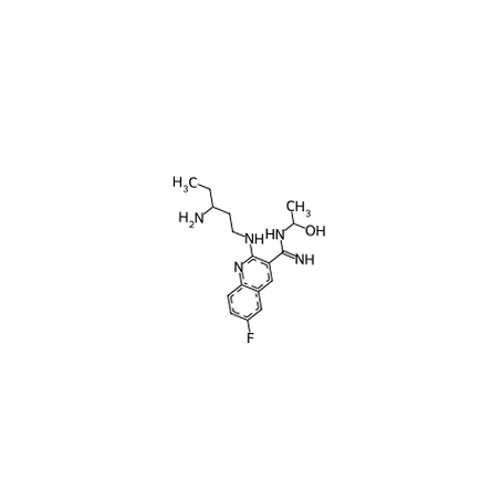 CCC(N)CCNc1nc2ccc(F)cc2cc1C(=N)NC(C)O